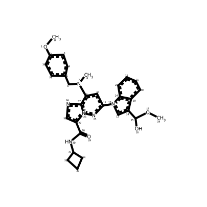 COc1ccc(CN(C)c2cc(-n3cc(C(O)OC)c4ccccc43)nn3c(C(=O)NC4CCC4)cnc23)cc1